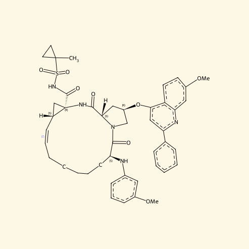 COc1cccc(N[C@H]2CCCCC/C=C\[C@@H]3C[C@@]3(C(=O)NS(=O)(=O)C3(C)CC3)NC(=O)[C@@H]3C[C@@H](Oc4cc(-c5ccccc5)nc5cc(OC)ccc45)CN3C2=O)c1